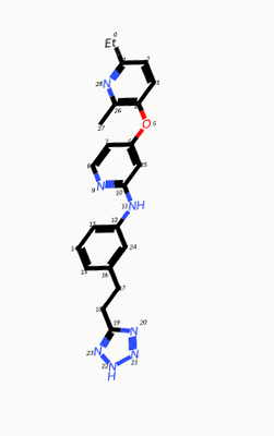 CCc1ccc(Oc2ccnc(Nc3cccc(CCc4nn[nH]n4)c3)c2)c(C)n1